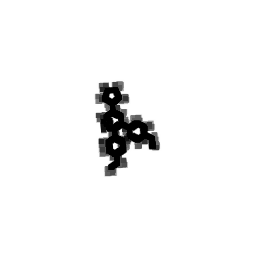 C=Cc1ccc(-c2cc(C3CCCC3)cnc2-c2ccc(CC)cc2)cc1